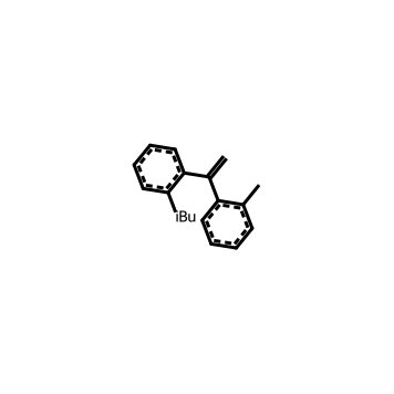 C=C(c1ccccc1C)c1ccccc1C(C)CC